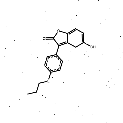 CCCOc1ccc(C2=C3CC(O)=CC=C3OC2=O)cc1